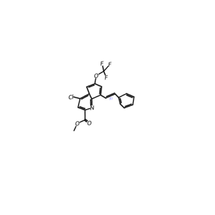 COC(=O)c1cc(Cl)c2cc(OC(F)(F)F)cc(/C=C/c3ccccc3)c2n1